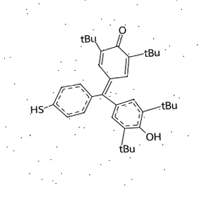 CC(C)(C)C1=CC(=C(c2ccc(S)cc2)c2cc(C(C)(C)C)c(O)c(C(C)(C)C)c2)C=C(C(C)(C)C)C1=O